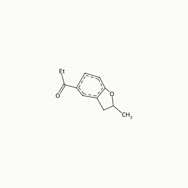 CCC(=O)c1ccc2c(c1)CC(C)O2